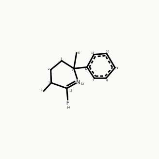 CC1CCC(C)(c2ccccc2)N=C1F